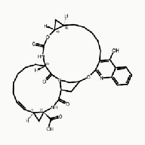 O=C1N[C@H]2CCCCCC=C[C@@H]3C[C@@]3(C(=O)O)NC(=O)C3CC(CN3C2=O)Oc2nc3ccccc3c(O)c2CCCCC[C@@H]2C[C@H]2O1